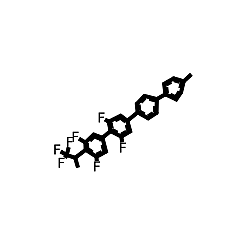 Cc1ccc(-c2ccc(-c3cc(F)c(-c4cc(F)c(C(C)C(F)(F)F)c(F)c4)c(F)c3)cc2)cc1